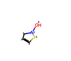 ON1CC=CS1